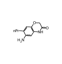 CCCc1cc2c(cc1N)NC(=O)CO2